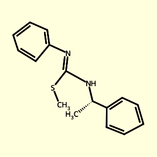 CSC(=Nc1ccccc1)N[C@@H](C)c1ccccc1